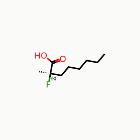 CCCCCC[C@@](C)(F)C(=O)O